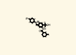 CC1CCCC(C(=O)Nc2cc3cn(C4CCC(C(C)C)CC4)nc3cc2C(C)(C)O)C1